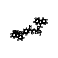 CN(CC(=O)Nc1ccc(CO[Si](c2ccccc2)(c2ccccc2)C(C)(C)C)cc1)C(=O)OCC1c2ccccc2-c2ccccc21